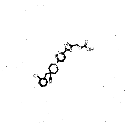 N#CC1(Cc2ccccc2Cl)CCN(c2ccc(-c3nnc(COC(=O)O)o3)nn2)CC1